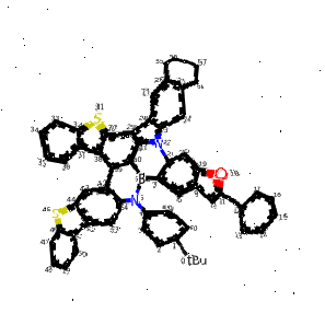 CC(C)(C)c1ccc(N2B3c4cc5cc(-c6ccccc6)oc5cc4-n4c5cc6c(cc5c5c7sc8ccccc8c7c(c3c54)-c3cc4sc5ccccc5c4cc32)CCCC6)cc1